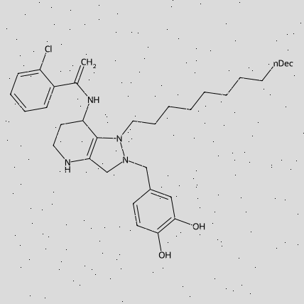 C=C(NC1CCNC2=C1N(CCCCCCCCCCCCCCCCCC)N(Cc1ccc(O)c(O)c1)C2)c1ccccc1Cl